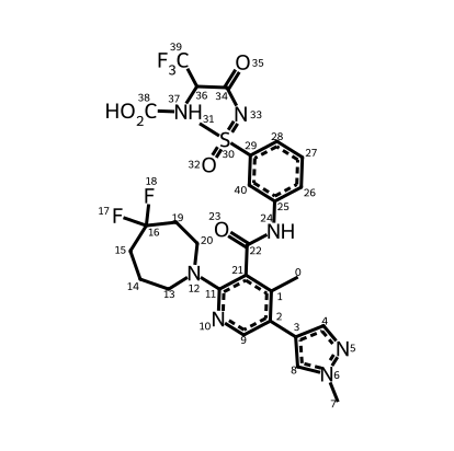 Cc1c(-c2cnn(C)c2)cnc(N2CCCC(F)(F)CC2)c1C(=O)Nc1cccc(S(C)(=O)=NC(=O)C(NC(=O)O)C(F)(F)F)c1